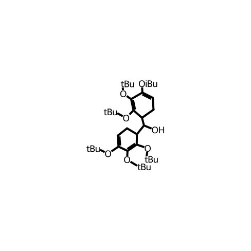 CC(C)COC1=CCC(C(O)C2CC=C(OC(C)(C)C)C(OC(C)(C)C)=C2OC(C)(C)C)C(OC(C)(C)C)=C1OC(C)(C)C